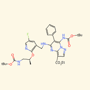 CCOC(=O)c1cnn2c(NC(=O)OC(C)(C)C)c(-c3ccccc3)c(NCc3cc(F)cnc3O[C@@H](C)CNC(=O)OC(C)(C)C)nc12